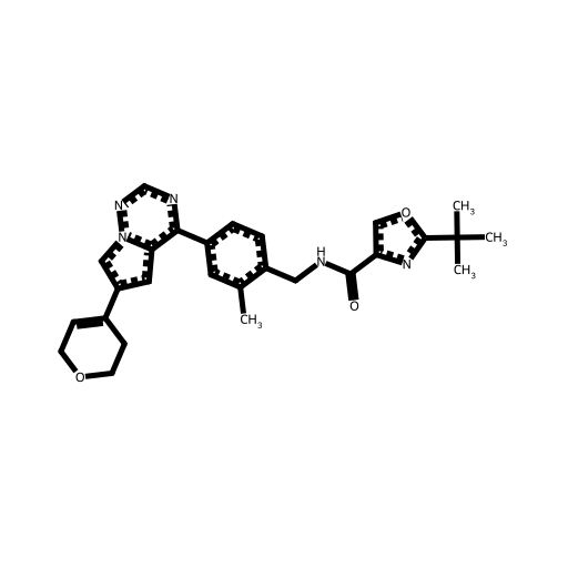 Cc1cc(-c2ncnn3cc(C4=CCOCC4)cc23)ccc1CNC(=O)c1coc(C(C)(C)C)n1